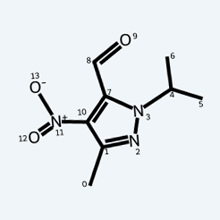 Cc1nn(C(C)C)c(C=O)c1[N+](=O)[O-]